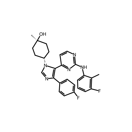 Cc1c(F)cccc1Nc1nccc(-c2c(-c3ccc(F)cc3)ncn2[C@H]2CC[C@](C)(O)CC2)n1